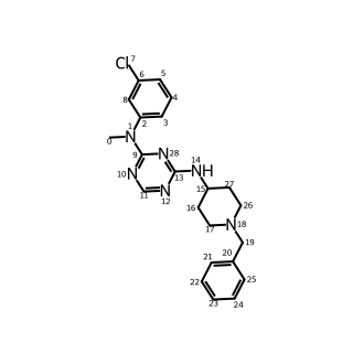 CN(c1cccc(Cl)c1)c1ncnc(NC2CCN(Cc3ccccc3)CC2)n1